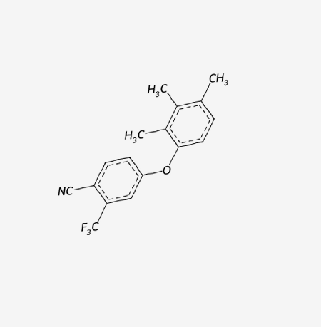 Cc1ccc(Oc2ccc(C#N)c(C(F)(F)F)c2)c(C)c1C